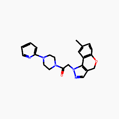 Cc1ccc2c(c1)-c1c(cnn1CC(=O)N1CCN(c3ccccn3)CC1)CO2